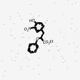 CCOC(=O)C(Cc1ccc(O)c([N+](=O)[O-])c1)Oc1ccccc1